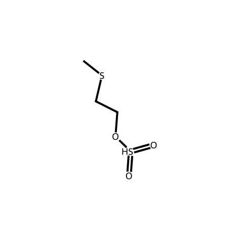 CSCCO[SH](=O)=O